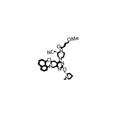 COC/C=C/C(=O)N1CCN(c2nc(OC[C@@H]3CCCN3C)nc3c2CCN(c2cccc4cccc(Cl)c24)C3)C[C@@H]1CC#N